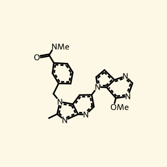 CNC(=O)c1cccc(Cn2c(C)nc3ncc(-n4ccc5ncnc(OC)c54)cc32)c1